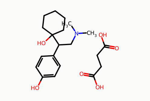 CN(C)CC(c1ccc(O)cc1)C1(O)CCCCC1.O=C(O)CCC(=O)O